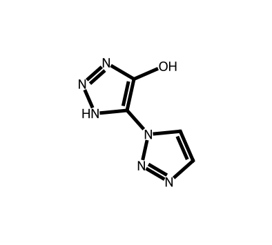 Oc1nn[nH]c1-n1ccnn1